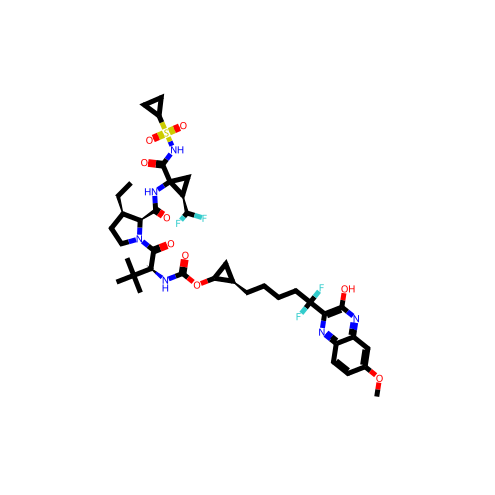 CC[C@@H]1CCN(C(=O)[C@@H](NC(=O)OC2C[C@H]2CCCCC(F)(F)c2nc3ccc(OC)cc3nc2O)C(C)(C)C)[C@@H]1C(=O)NC1(C(=O)NS(=O)(=O)C2CC2)C[C@H]1C(F)F